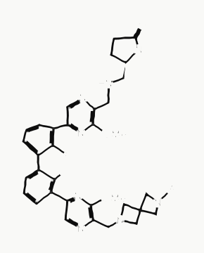 COc1nc(-c2cccc(-c3cccc(-c4cnc(CN5CC6(C5)CN(C(C)=O)C6)c(OC)n4)c3Cl)c2Cl)cnc1CNC[C@H]1CCC(=O)N1